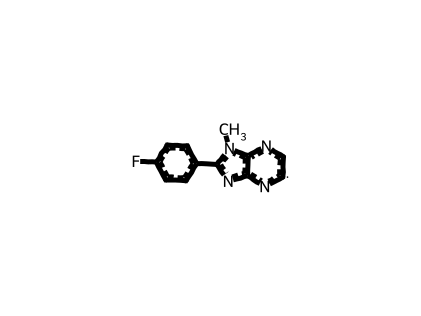 Cn1c(-c2ccc(F)cc2)nc2n[c]cnc21